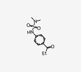 CCC(=O)c1ccc(NS(=O)(=O)N(C)C)cc1